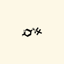 CC(C)(C)[Si](C)(C)Oc1ccc(I)nc1